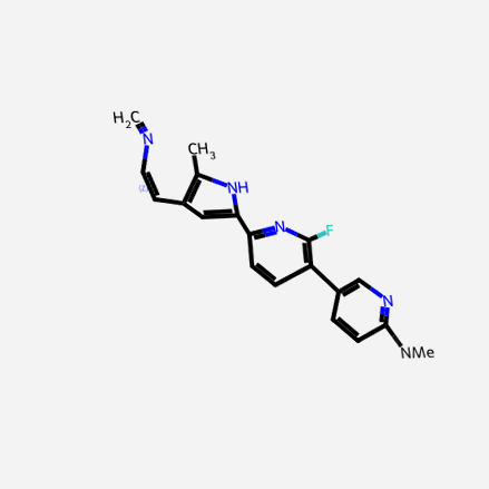 C=N/C=C\c1cc(-c2ccc(-c3ccc(NC)nc3)c(F)n2)[nH]c1C